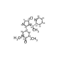 Cc1cc(-c2ncc(Cl)n2C(C)c2ccccn2)cn(C)c1=O